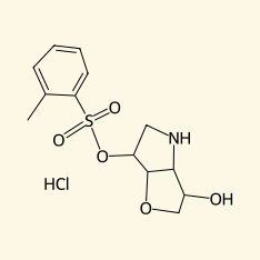 Cc1ccccc1S(=O)(=O)OC1CNC2C(O)COC12.Cl